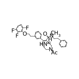 CC(=O)N1CC2CC(c3cccc(CCOc4c(F)ccc(F)c4F)c3)=C(C(=O)N(C)CCc3ccccc3)[C@@H](C1)N2